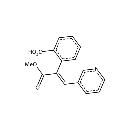 COC(=O)C(=Cc1cccnc1)c1ccccc1C(=O)O